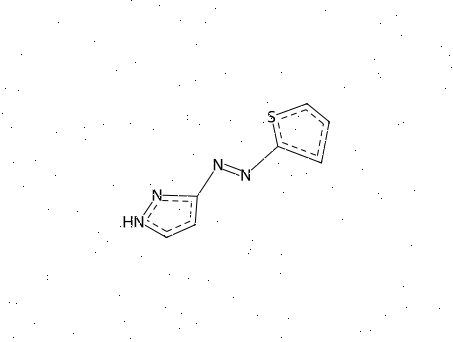 c1csc(N=Nc2cc[nH]n2)c1